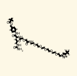 CC(C)(C)C(=O)OCc1ccc(NC(=O)[C@H](CCCNC(N)=O)NC(=O)COCC(=O)NCCOCCOCCOCCOCCOCCn2cc(C(C)(C)C)nn2)cc1